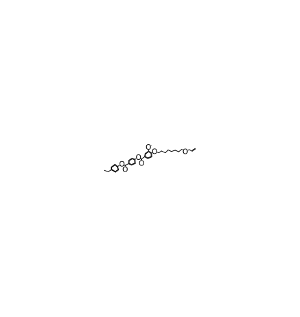 C=CCOCCCCCCCCOc1ccc(C(=O)Oc2ccc(C(=O)Oc3ccc(CC)cc3)cc2)cc1OC